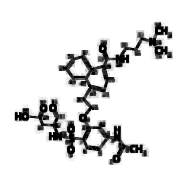 CC(=O)Nc1ccc(S(=O)(=O)NC(C=O)CC(=O)O)c(OCCc2ccc(C(=O)NCCCN(C)C)c3ccccc23)c1